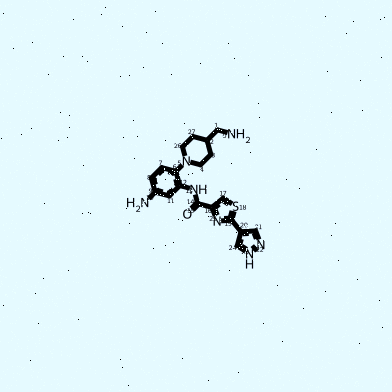 NCC1CCN(c2ccc(N)cc2NC(=O)c2csc(-c3cn[nH]c3)n2)CC1